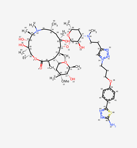 CC[C@H]1OC(=O)[C@H](C)[C@@H](C2C[C@@](C)(OC)[C@@H](O)[C@H](C)O2)[C@H](C)[C@@H](O[C@@H]2O[C@H](C)C[C@H](N(C)CCc3cn(CCCOc4ccc(-c5nnc(N)s5)cc4)nn3)[C@H]2O)[C@](C)(O)C[C@@H](C)CN(C)[C@H](C)[C@@H](O)[C@]1(C)O